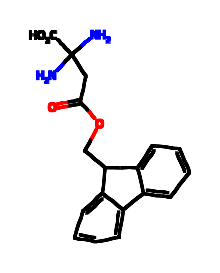 NC(N)(CC(=O)OCC1c2ccccc2-c2ccccc21)C(=O)O